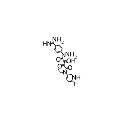 N=C(N)c1ccc(N(N)C(=O)[C@H](O)[C@H]2OCCN(C3=CC=C(F)NC3)C2=O)cc1